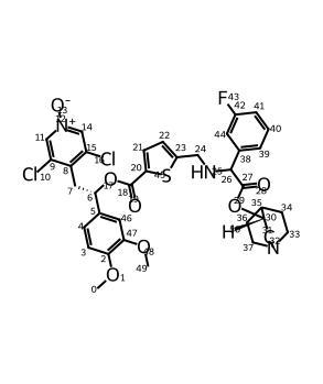 COc1ccc([C@H](Cc2c(Cl)c[n+]([O-])cc2Cl)OC(=O)c2ccc(CNC(C(=O)O[C@H]3CN4CCC3CC4)c3cccc(F)c3)s2)cc1OC